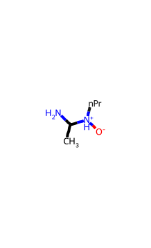 CCC[NH+]([O-])C(C)N